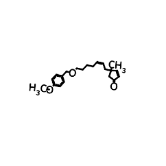 COc1ccc(COCCCC/C=C\CC2(C)C=CC(=O)C2)cc1